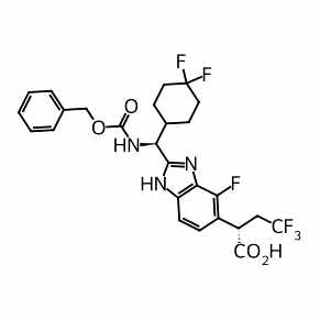 O=C(N[C@H](c1nc2c(F)c([C@H](CC(F)(F)F)C(=O)O)ccc2[nH]1)C1CCC(F)(F)CC1)OCc1ccccc1